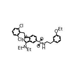 CCOc1cccc(CCNS(=O)(=O)c2ccc3c(c2)c(N(CC)CC)nn3Cc2c(Cl)cccc2Cl)c1